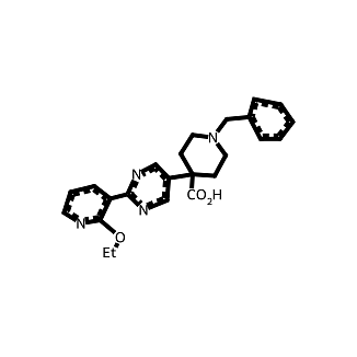 CCOc1ncccc1-c1ncc(C2(C(=O)O)CCN(Cc3ccccc3)CC2)cn1